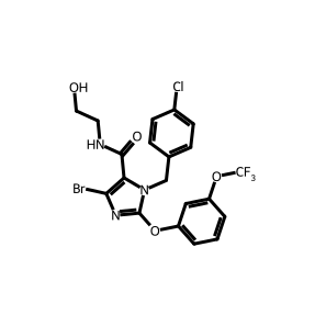 O=C(NCCO)c1c(Br)nc(Oc2cccc(OC(F)(F)F)c2)n1Cc1ccc(Cl)cc1